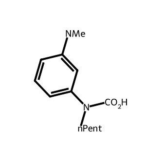 CCCCCN(C(=O)O)c1cccc(NC)c1